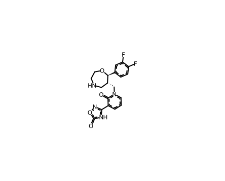 O=c1[nH]c(-c2cccn(C[C@@H]3CNCCO[C@H]3c3ccc(F)c(F)c3)c2=O)no1